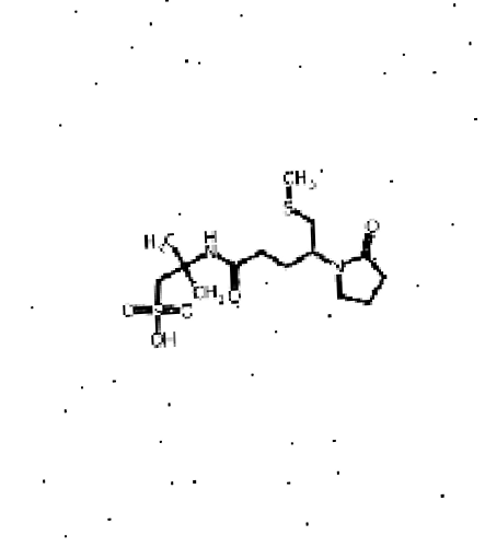 CSCC(CCC(=O)NC(C)(C)CS(=O)(=O)O)N1CCCC1=O